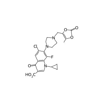 Cc1oc(=O)oc1CN1CCN(c2c(Cl)cc3c(=O)c(C(=O)O)cn(C4CC4)c3c2F)CC1